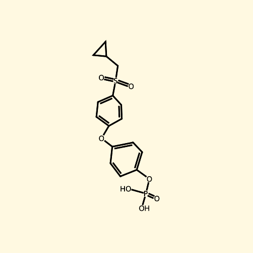 O=P(O)(O)Oc1ccc(Oc2ccc(S(=O)(=O)CC3CC3)cc2)cc1